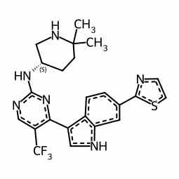 CC1(C)CC[C@H](Nc2ncc(C(F)(F)F)c(-c3c[nH]c4cc(-c5nccs5)ccc34)n2)CN1